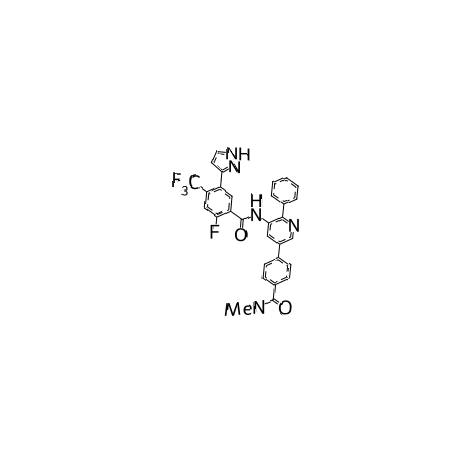 CNC(=O)c1ccc(-c2cnc(-c3ccccc3)c(NC(=O)c3cc(-c4cc[nH]n4)c(C(F)(F)F)cc3F)c2)cc1